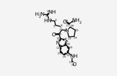 N=C(N)NCCC[C@@H](C(=O)c1nc2ccc(NC=O)cc2s1)N1CCC[C@H]1C(N)=O